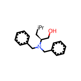 CC(C)C[C@@H](CO)N(Cc1ccccc1)Cc1ccccc1